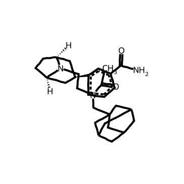 CC(=O)N(CCN1[C@@H]2CC[C@H]1C[C@@H](c1cccc(C(N)=O)c1)C2)CC12CC3CC(CC(C3)C1)C2